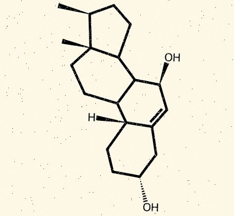 C[C@H]1CCC2C3C(CC[C@@]21C)[C@H]1CC[C@@H](O)CC1=C[C@@H]3O